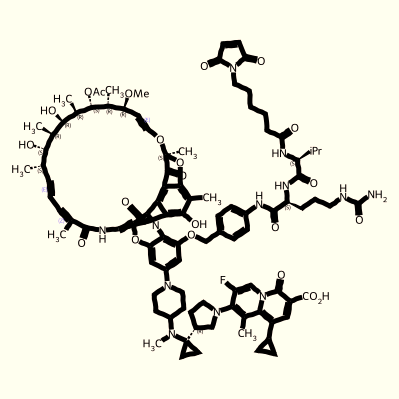 CO[C@H]1/C=C/O[C@@]2(C)Oc3c(C)c(O)c4c(=O)c(c5oc6cc(N7CCC(N(C)C8([C@@H]9CCN(c%10c(F)cn%11c(=O)c(C(=O)O)cc(C%12CC%12)c%11c%10C)C9)CC8)CC7)cc(OCc7ccc(NC(=O)[C@H](CCCNC(N)=O)NC(=O)[C@@H](NC(=O)CCCCCN8C(=O)C=CC8=O)C(C)C)cc7)c6nc-5c4c3C2=O)NC(=O)/C(C)=C\C=C\[C@H](C)[C@H](O)[C@@H](C)[C@@H](O)[C@@H](C)[C@H](OC(C)=O)[C@@H]1C